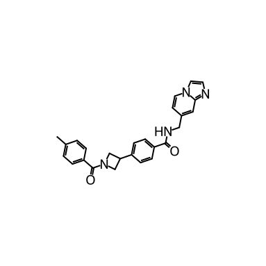 Cc1ccc(C(=O)N2CC(c3ccc(C(=O)NCc4ccn5ccnc5c4)cc3)C2)cc1